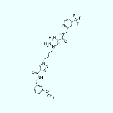 COc1cccc(CNC(=O)c2cn(CCCCN(N)/C=C(\N)C(=O)NCc3cc(C(F)(F)F)ccn3)nn2)c1